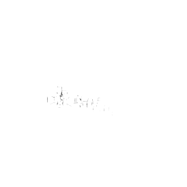 CC(F)(F)c1ccc(-c2nc3cc(S(=O)(=O)Nc4ccccc4Cl)ccc3[nH]2)o1